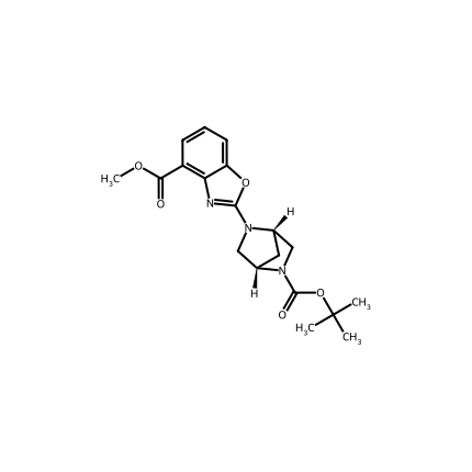 COC(=O)c1cccc2oc(N3C[C@@H]4C[C@H]3CN4C(=O)OC(C)(C)C)nc12